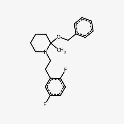 CC1(OCc2ccccc2)CCCCN1CCc1cc(F)ccc1F